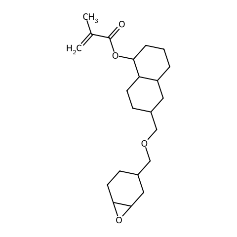 C=C(C)C(=O)OC1CCCC2CC(COCC3CCC4OC4C3)CCC21